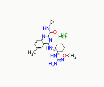 CO/N=C(/N)N[C@@H]1CCCC[C@@H]1Nc1nc(C(=O)NC2CC2)nc2ccc(C)cc12.Cl.Cl